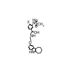 CS(=O)(=O)Nc1cc([C@@H](O)CNCCOc2ccc3[nH]c4c(c3c2)CCCCC4)ccc1F